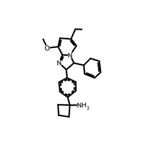 CCC1=CN2C(=NC(c3ccc(C4(N)CCC4)cc3)C2C2C=CC=CC2)C(OC)=C1